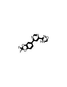 FC1(F)Oc2ccc(-c3cc(C4=NOCN4)ncn3)cc2O1